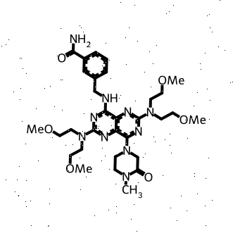 COCCN(CCOC)c1nc(N2CCN(C)C(=O)C2)c2nc(N(CCOC)CCOC)nc(NCc3cccc(C(N)=O)c3)c2n1